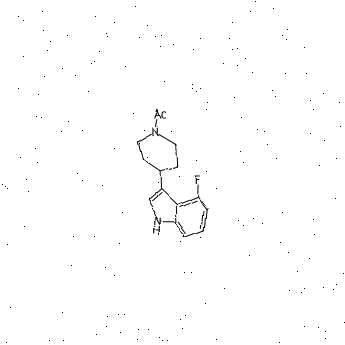 CC(=O)N1CCC(c2c[nH]c3cccc(F)c23)CC1